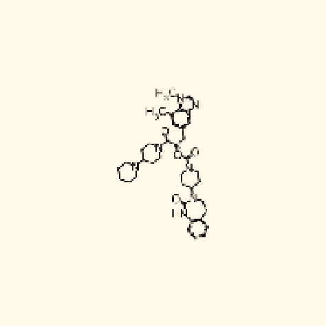 Cc1cc(C[C@@H](OC(=O)N2CCC(N3CCc4ccccc4NC3=O)CC2)C(=O)N2CCC(N3CCCCC3)CC2)cc2ncn(C)c12